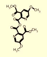 COC(=O)c1cc(OC)cnc1C(=O)OC(=O)c1ncc(OC)cc1C(=O)OC